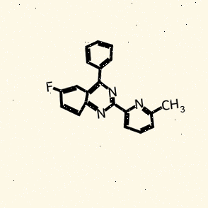 Cc1cccc(-c2nc(-c3ccccc3)c3cc(F)ccc3n2)n1